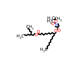 CCCCCCCCCCC(CCCCCCCCC(=O)OCCC(CCCCC)CCCCC)COC(=O)[C@@H]1CCN(C(=O)OC(C)(C)C)C1